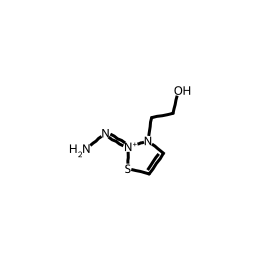 NN=[N+]1SC=CN1CCO